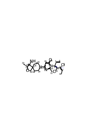 C=C/C(=C(Cl)\C(Cl)=C/C)n1c(C)nc(N2CCC3(CC2)CO[C@@H](C)[C@H]3N)cc1=O